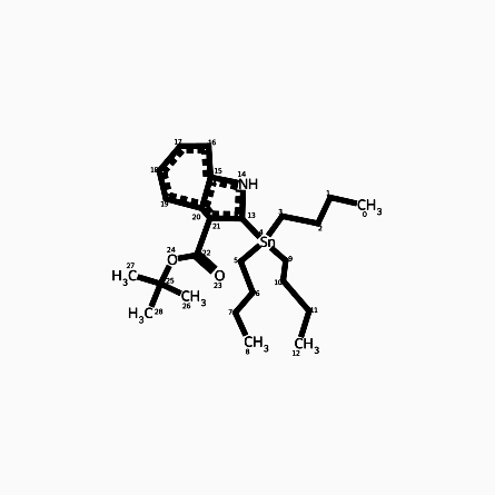 CCC[CH2][Sn]([CH2]CCC)([CH2]CCC)[c]1[nH]c2ccccc2c1C(=O)OC(C)(C)C